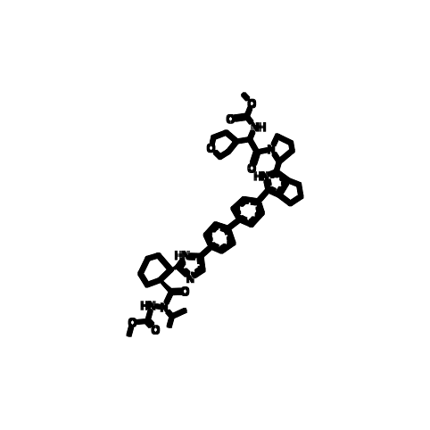 COC(=O)NC(C(=O)N1CCCC1c1[nH]c(-c2ccc(-c3ccc(-c4cnc([C@H]5CCCC[C@@H]5C(=O)N(NC(=O)OC)C(C)C)[nH]4)cc3)cc2)c2c1CCC2)C1CCOCC1